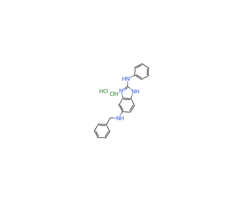 Cl.Cl.c1ccc(CNc2ccc3[nH]c(Nc4ccccc4)nc3c2)cc1